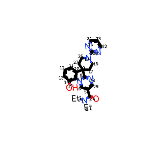 CCN(CC)C(=O)c1cnc(C2(c3cccc(O)c3)CCN(c3ncccn3)CC2)nc1